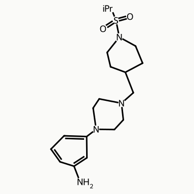 CC(C)S(=O)(=O)N1CCC(CN2CCN(c3cccc(N)c3)CC2)CC1